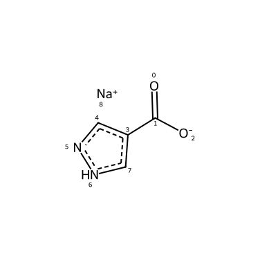 O=C([O-])c1cn[nH]c1.[Na+]